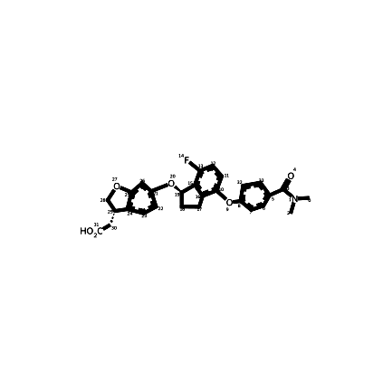 CN(C)C(=O)c1ccc(Oc2ccc(F)c3c2CC[C@H]3Oc2ccc3c(c2)OC[C@H]3CC(=O)O)cc1